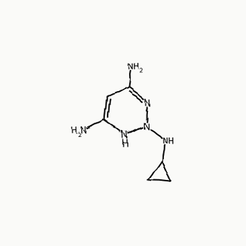 NC1=CC(N)=NN(NC2CC2)N1